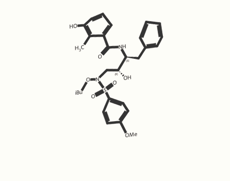 CCC(C)ON(C[C@@H](O)[C@H](Cc1ccccc1)NC(=O)c1cccc(O)c1C)S(=O)(=O)c1ccc(OC)cc1